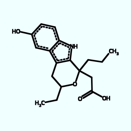 CCCC1(CC(=O)O)OC(CC)Cc2c1[nH]c1ccc(O)cc21